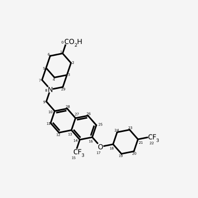 O=C(O)C1CC2CC(C1)CN(Cc1ccc3c(C(F)(F)F)c(OC4CCC(C(F)(F)F)CC4)ccc3c1)C2